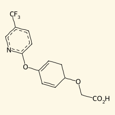 O=C(O)COC1C=CC(Oc2ccc(C(F)(F)F)cn2)=CC1